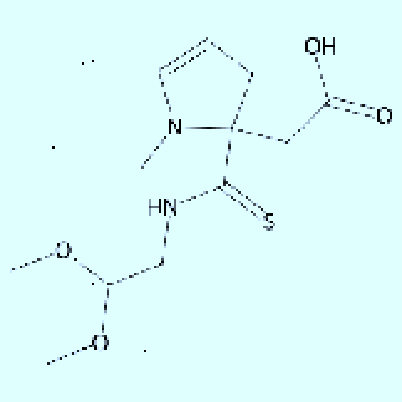 COC(CNC(=S)C1(CC(=O)O)CC=CN1C)OC